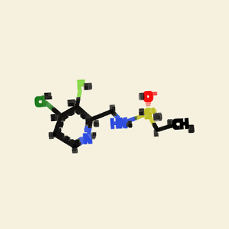 CC[S@@+]([O-])NCc1nccc(Cl)c1F